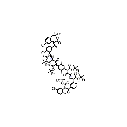 CCC(C)(C)OC(=O)N(/N=C(\C=O)C(=O)N(C(=O)OC(C)(C)CC)c1cc(C)c(N(C(=O)OC(C)(C)CC)C(=O)/C(=N/N(C(=O)OC(C)(C)CC)c2cc(C(=O)N3C(=O)OC(C)(CC)Cc4ccc(Cl)cc43)ccc2Cl)C(C)=O)cc1C)C1=CC(C(=O)N(C(=O)OC(C)(C)CC)c2cc(Cl)ccc2C)=CCC1Cl